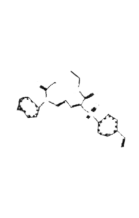 C=Cc1ccc(S(=O)(=O)C(=CC=CN(C(C)=O)c2ccccc2)C(=O)OCC)cc1